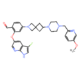 COc1ccc(CN2CCN(C3CC4(C3)CN(c3ccc(C=O)c(Oc5cnc6[nH]cc(F)c6c5)c3)C4)CC2)nc1